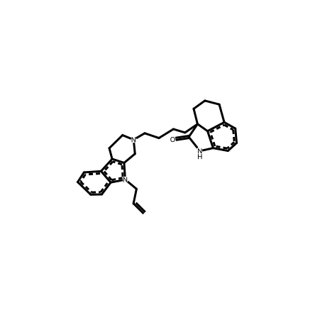 C=CCn1c2c(c3ccccc31)CCN(CCCCC13CCCc4cccc(c41)NC3=O)C2